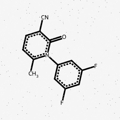 Cc1ccc(C#N)c(=O)n1-c1cc(F)cc(F)c1